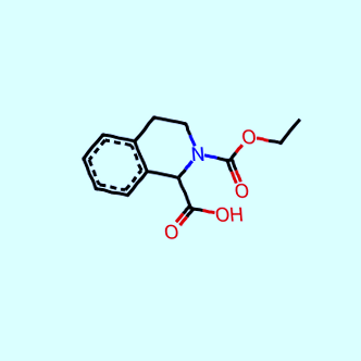 CCOC(=O)N1CCc2ccccc2C1C(=O)O